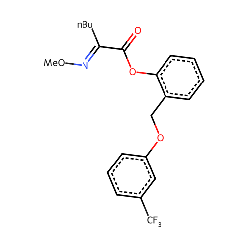 CCCCC(=NOC)C(=O)Oc1ccccc1COc1cccc(C(F)(F)F)c1